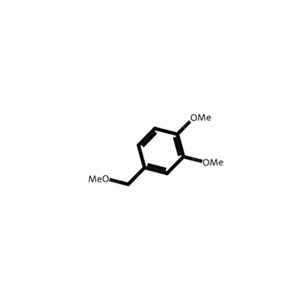 COCc1ccc(OC)c(OC)c1